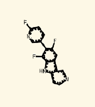 Fc1ccc(-c2c(F)cc3c([nH]c4ccncc43)c2F)cn1